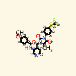 COc1ccc(C(=O)Nc2cnccc2CN2C(=O)N(c3ccc(SC(F)(F)F)cc3)C(=O)C2C)cc1